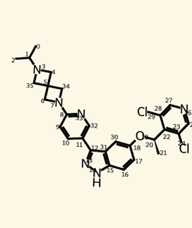 CC(C)N1CC2(CN(c3ccc(-c4n[nH]c5ccc(O[C@H](C)c6c(Cl)cncc6Cl)cc45)cn3)C2)C1